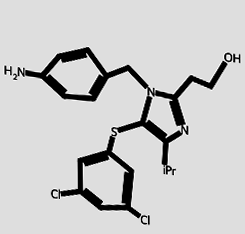 CC(C)c1nc(CCO)n(Cc2ccc(N)cc2)c1Sc1cc(Cl)cc(Cl)c1